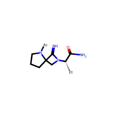 CC[C@@H](C(N)=O)N1CC2(CCCN2C(C)=O)C1=N